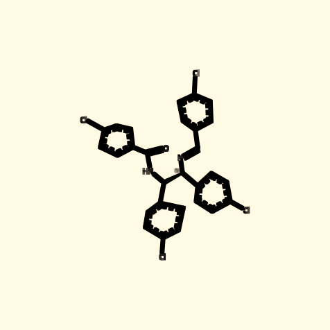 O=C(NC(c1ccc(Cl)cc1)[C@@H](N=Cc1ccc(Cl)cc1)c1ccc(Cl)cc1)c1ccc(Cl)cc1